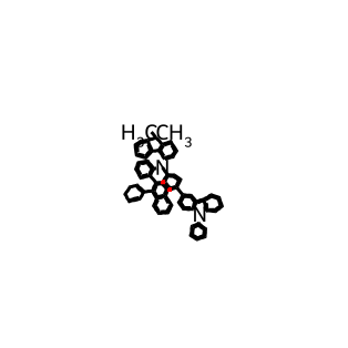 CC1(C)c2ccccc2-c2c(N(c3ccc(-c4ccc5c(c4)c4ccccc4n5-c4ccccc4)cc3)c3ccccc3-c3ccc4ccccc4c3C3=CCCC=C3)cccc21